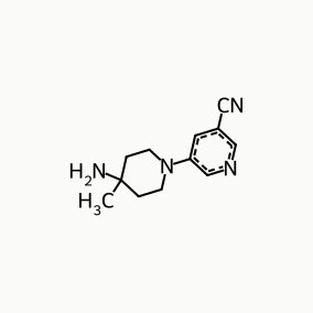 CC1(N)CCN(c2cncc(C#N)c2)CC1